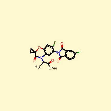 COC(=O)C(C)N1C(=O)C2(CC2)Oc2cc(F)c(N3C(=O)c4ccc(F)cc4C3=O)cc21